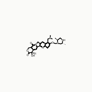 CC[C@@]1(O)C(=O)OCc2c1cc1n(c2=O)Cc2cc3c(CN(C)C)c(OCN4C[C@@H](C)NC[C@@H]4C)ccc3nc2-1